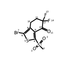 CS(=O)(=O)c1sc(Br)c2c1C(=O)C(F)(F)CC2